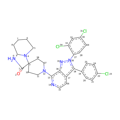 NC(=O)C1(N2CCCCC2)CCN(c2nccc3c(-c4ccc(Cl)cc4)n(-c4ccc(Cl)cc4Cl)nc23)CC1